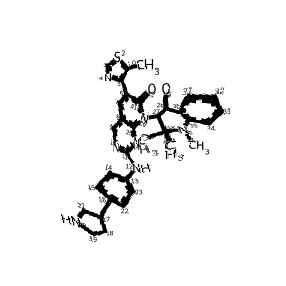 Cc1scnc1-c1cc2cnc(Nc3ccc(C4CCNC4)cc3)nc2n(C2C(=O)c3ccccc3N(C)C2(C)C)c1=O